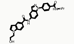 CCCNC(=O)c1ccc(-n2ncc3cc(NC(=O)c4ccc5c(ccn5CCO)c4)ccc32)cc1